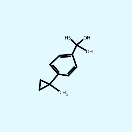 CC1(c2ccc(C(O)(O)S)cc2)CC1